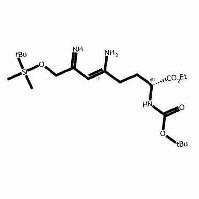 CCOC(=O)[C@@H](CC/C(N)=C/C(=N)CO[Si](C)(C)C(C)(C)C)NC(=O)OC(C)(C)C